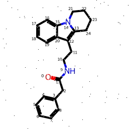 O=C(Cc1ccccc1)NCCc1c2n(c3ccccc13)CCCC2